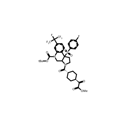 COC(=O)C(=O)[C@H]1CC[C@H](C(=O)N2CCC3(S(=O)(=O)c4ccc(F)cc4)c4ccc(C(F)(C(F)(F)F)C(F)(F)F)cc4N(C(=O)OC(C)(C)C)CC23)CC1